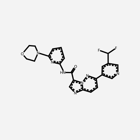 O=C(Nc1cccc(N2CCOCC2)n1)c1cnc2ccc(-c3cncc(C(F)F)c3)nn12